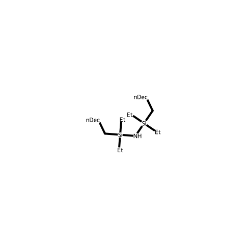 CCCCCCCCCCC[Si](CC)(CC)N[Si](CC)(CC)CCCCCCCCCCC